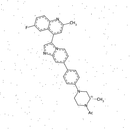 CC(=O)N1CCN(c2ccc(-c3ccn4c(-c5cc(C)nc6ccc(F)cc56)cnc4c3)cc2)C[C@@H]1C